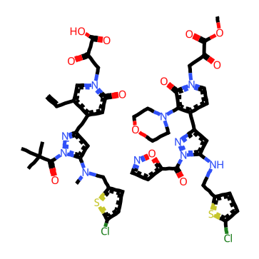 C=Cc1cn(CC(=O)C(=O)O)c(=O)cc1-c1cc(N(C)Cc2ccc(Cl)s2)n(C(=O)C(C)(C)C)n1.COC(=O)C(=O)Cn1ccc(-c2cc(NCc3ccc(Cl)s3)n(C(=O)c3ccno3)n2)c(N2CCOCC2)c1=O